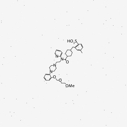 COCCOCOc1ccccc1N1CCN(CCN(C(=O)C2CCC(Cc3cc(C)ccc3S(=O)(=O)O)CC2)c2ccccn2)CC1